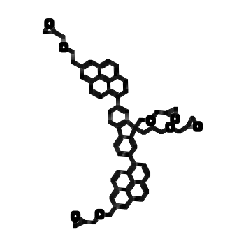 c1cc2c(cc1-c1ccc3ccc4cc(CCOCC5CO5)cc5ccc1c3c45)C(CCCOCC1CO1)(COCC1CO1)c1cc(-c3ccc4ccc5cc(COCC6CO6)cc6ccc3c4c56)ccc1-2